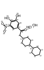 Cl.Cl.O=C(CN1CCC(N2CCCCC2)CC1)c1cc(O)c(O)c([N+](=O)[O-])c1